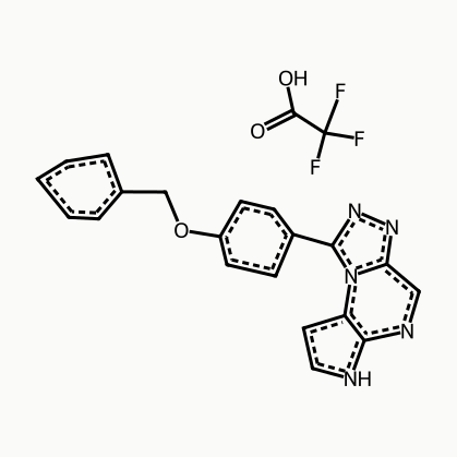 O=C(O)C(F)(F)F.c1ccc(COc2ccc(-c3nnc4cnc5[nH]ccc5n34)cc2)cc1